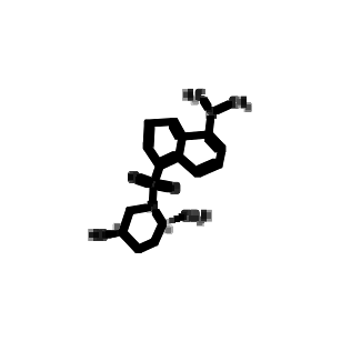 CN(C)c1cccc2c(S(=O)(=O)N3C[C@H](O)CC[C@H]3C(=O)O)cccc12